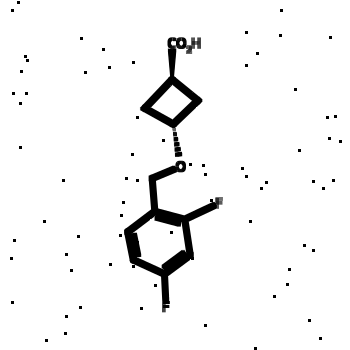 O=C(O)[C@H]1C[C@H](OCc2ccc(F)cc2F)C1